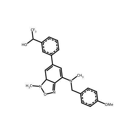 COc1ccc(CN(C)C2=CC(c3cccc(C(O)C(F)(F)F)c3)=CC3C2=NON3C)cc1